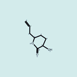 C=CCC1CCC(O)C(=O)O1